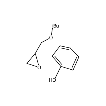 CCC(C)OCC1CO1.Oc1ccccc1